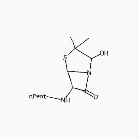 CCCCCNC1C(=O)N2C1SC(C)(C)C2O